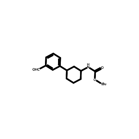 CC(C)(C)OC(=O)NC1CCCC(c2cccc(C=O)c2)C1